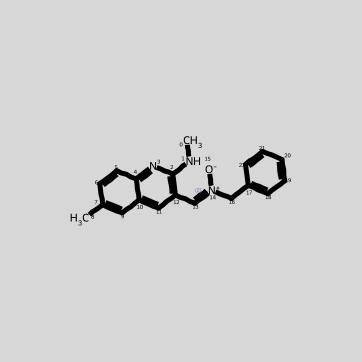 CNc1nc2ccc(C)cc2cc1/C=[N+](\[O-])Cc1ccccc1